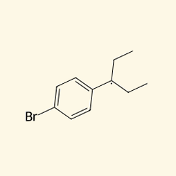 CC[C](CC)c1ccc(Br)cc1